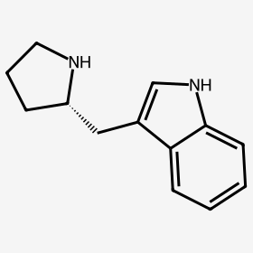 c1ccc2c(C[C@@H]3CCCN3)c[nH]c2c1